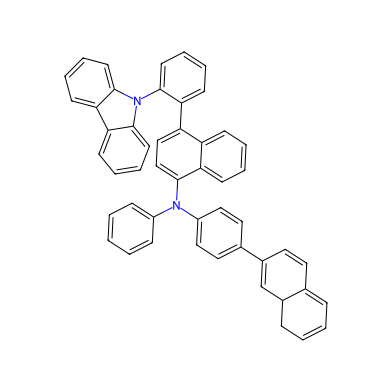 C1=CCC2C=C(c3ccc(N(c4ccccc4)c4ccc(-c5ccccc5-n5c6ccccc6c6ccccc65)c5ccccc45)cc3)C=CC2=C1